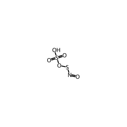 O=NSOS(=O)(=O)O